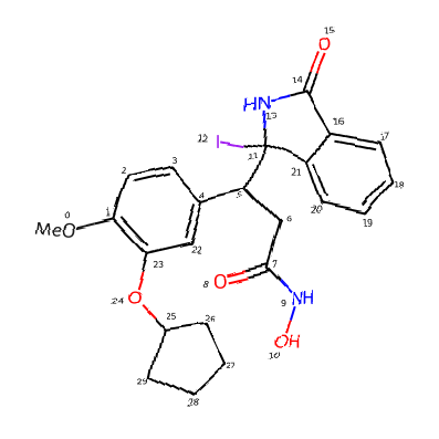 COc1ccc(C(CC(=O)NO)C2(I)NC(=O)c3ccccc32)cc1OC1CCCC1